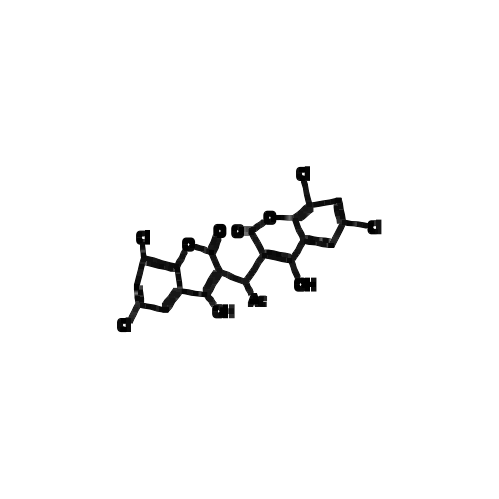 CC(=O)C(c1c(O)c2cc(Cl)cc(Cl)c2oc1=O)c1c(O)c2cc(Cl)cc(Cl)c2oc1=O